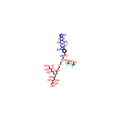 CCn1c(CNC(=O)c2nc3cc[nH]c3nc2N)[n+](CC)c2cc(C(=O)NCCOCCOCCOCCN(CC(O)C(O)C(O)C(O)CO)CC(O)C(O)C(O)C(O)CO)ccc21.O=C(O)C(F)(F)F.O=C([O-])C(F)(F)F